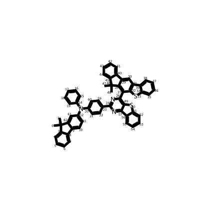 CC1(C)c2ccccc2-c2ccc(N(c3ccccc3)c3ccc(-c4nc(-c5c6c(cc7c5sc5ccccc57)-c5ccccc5C6(C)C)c5sc6ccccc6c5n4)cc3)cc21